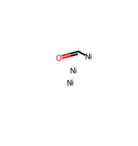 O=[CH][Ni].[Ni].[Ni]